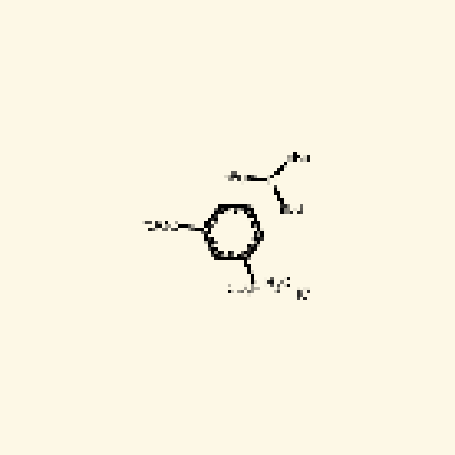 CCCCP(CCCC)CCCC.O.O=C([O-])c1cccc(C(=O)O)c1.[K+]